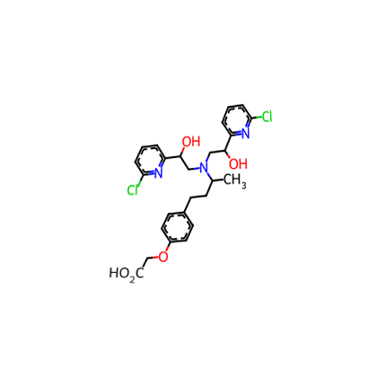 CC(CCc1ccc(OCC(=O)O)cc1)N(CC(O)c1cccc(Cl)n1)CC(O)c1cccc(Cl)n1